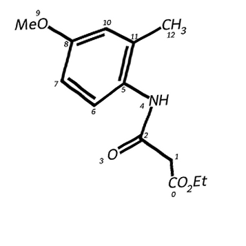 CCOC(=O)CC(=O)Nc1ccc(OC)cc1C